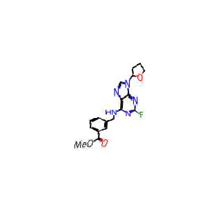 COC(=O)c1cccc(CNc2nc(F)nc3c2ncn3C2CCCO2)c1